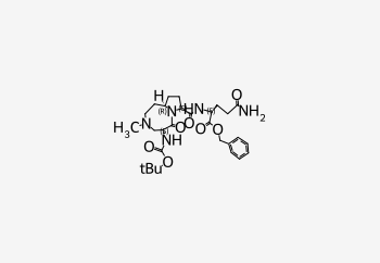 CN1CC[C@H]2CC[C@@H](C(=O)N[C@@H](CCC(N)=O)C(=O)OCc3ccccc3)N2C(=O)[C@@H](NC(=O)OC(C)(C)C)C1